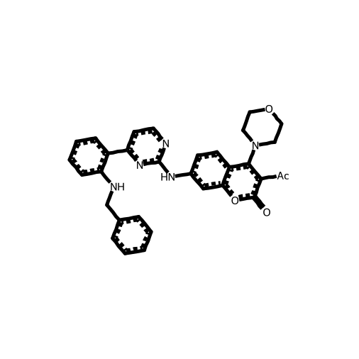 CC(=O)c1c(N2CCOCC2)c2ccc(Nc3nccc(-c4ccccc4NCc4ccccc4)n3)cc2oc1=O